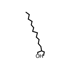 CCCCCCCCCCCCC(CC)CO